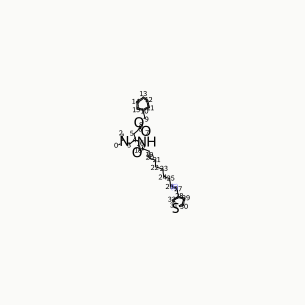 CN(C)CC(CC(=O)OCc1ccccc1)NC(=O)CCCCCCC/C=C/c1ccsc1